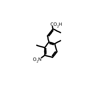 CC(=Cc1c(C)ccc([N+](=O)[O-])c1C)C(=O)O